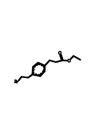 CCOC(=O)CCc1ccc(CCBr)cc1